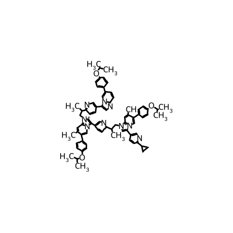 Cc1cc2n(cc1-c1ccc(OC(C)C)cc1)c(-c1ccc(C(C)C[n+]3cc(-c4ccc(C5CC5)nc4)n4cc(-c5ccc(OC(C)C)cc5)c(C)cc43)nc1)c[n+]2CC(C)c1ccc(-c2cnc3ccc(-c4ccc(OC(C)C)cc4)cn23)cn1